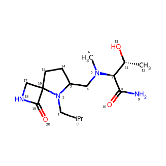 CC(C)CN1C(CN(C)[C@H](C(N)=O)[C@@H](C)O)CCC12CNC2=O